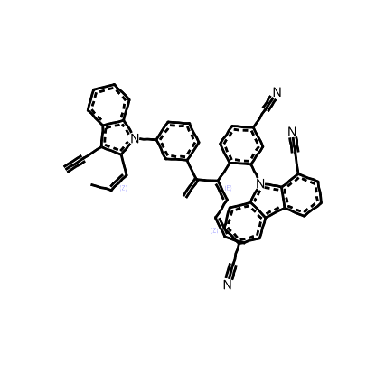 C#Cc1c(/C=C\C)n(-c2cccc(C(=C)/C(=C\C=C/C)c3ccc(C#N)cc3-n3c4ccc(C#N)cc4c4cccc(C#N)c43)c2)c2ccccc12